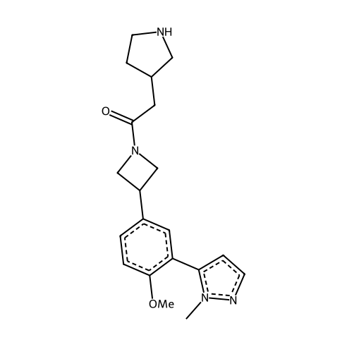 COc1ccc(C2CN(C(=O)CC3CCNC3)C2)cc1-c1ccnn1C